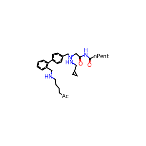 CCCCCC(=O)NC(=O)CN(Cc1ccc(-c2ccccc2CNCCCCC(C)=O)cc1)NCC1CC1